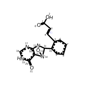 O=C(O)/C=C/c1ccccc1C1N2ON1c1c2nc[nH]c1=O